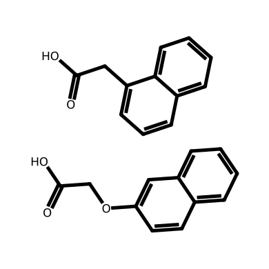 O=C(O)COc1ccc2ccccc2c1.O=C(O)Cc1cccc2ccccc12